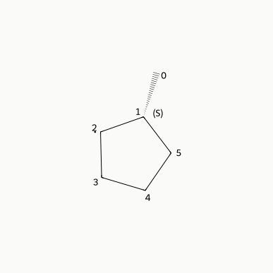 C[C@H]1[CH]CCC1